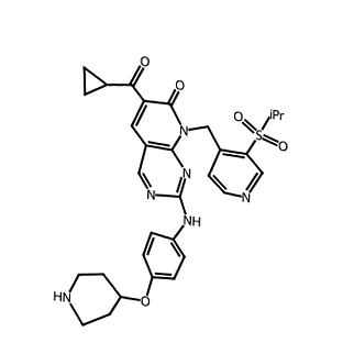 CC(C)S(=O)(=O)c1cnccc1Cn1c(=O)c(C(=O)C2CC2)cc2cnc(Nc3ccc(OC4CCNCC4)cc3)nc21